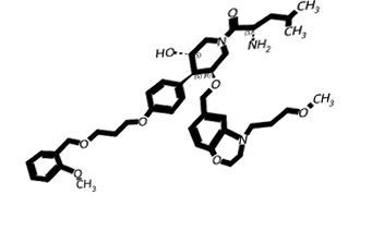 COCCCN1CCOc2ccc(CO[C@H]3CN(C(=O)[C@@H](N)CC(C)C)C[C@@H](O)[C@@H]3c3ccc(OCCCOCc4ccccc4OC)cc3)cc21